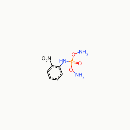 NOP(=O)(Nc1ccccc1[N+](=O)[O-])ON